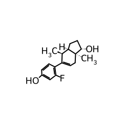 C[C@@H]1C(c2ccc(O)cc2F)=CC[C@@]2(C)[C@@H]1CC[C@@H]2O